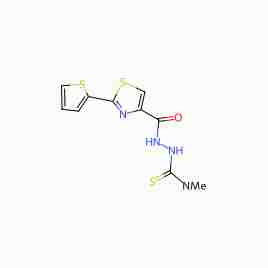 CNC(=S)NNC(=O)c1csc(-c2cccs2)n1